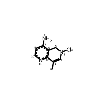 CC1=CN(Cl)Cc2c(N)ccnc21